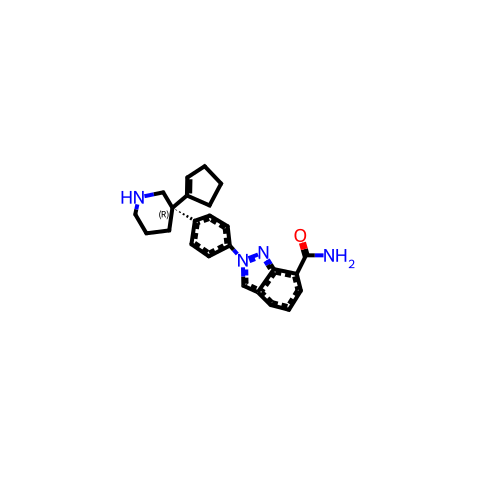 NC(=O)c1cccc2cn(-c3ccc([C@]4(C5=CCCC5)CCCNC4)cc3)nc12